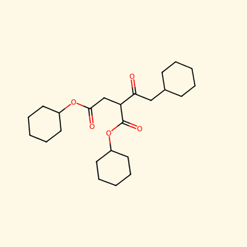 O=C(CC(C(=O)CC1CCCCC1)C(=O)OC1CCCCC1)OC1CCCCC1